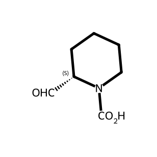 O=C[C@@H]1CCCCN1C(=O)O